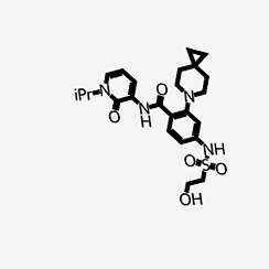 CC(C)n1cccc(NC(=O)c2ccc(NS(=O)(=O)CCO)cc2N2CCC3(CC2)CC3)c1=O